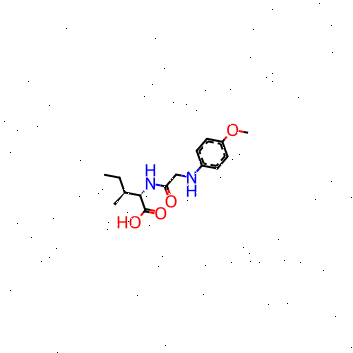 CC[C@H](C)[C@H](NC(=O)CNc1ccc(OC)cc1)C(=O)O